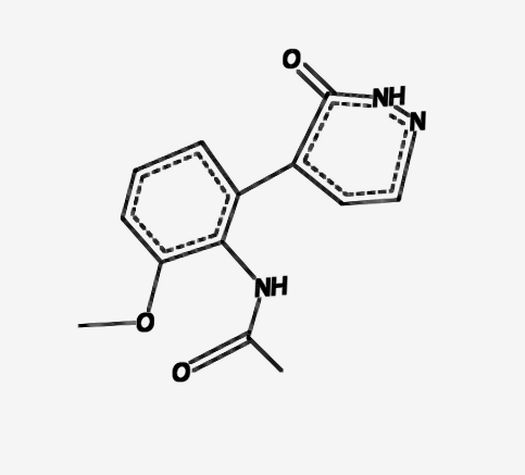 COc1cccc(-c2ccn[nH]c2=O)c1NC(C)=O